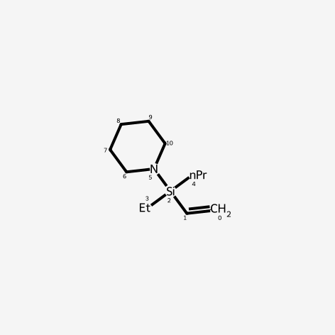 C=C[Si](CC)(CCC)N1CCCCC1